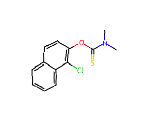 CN(C)C(=S)Oc1ccc2ccccc2c1Cl